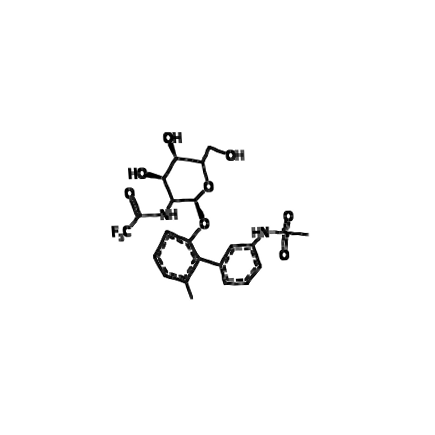 Cc1cccc(O[C@@H]2OC(CO)[C@H](O)[C@H](O)C2NC(=O)C(F)(F)F)c1-c1cccc(NS(C)(=O)=O)c1